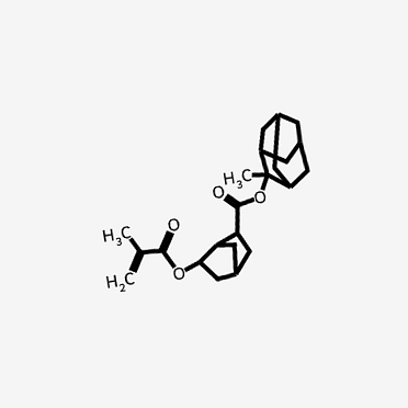 C=C(C)C(=O)OC1CC2CC(C(=O)OC3(C)C4CC5CC(C4)CC3C5)C1C2